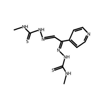 CNC(=S)N/N=C/C(=N/NC(=S)NC)c1ccncc1